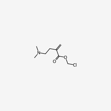 C=C(CCN(C)C)C(=O)OCCl